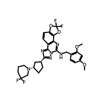 COc1ccc(CNc2nc3c4c(ccc3c3nc([C@H]5CC[C@H](N6CCCC(F)(F)C6)C5)nn23)OC(F)(F)O4)c(OC)c1